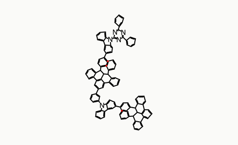 c1ccc(-c2nc(-c3ccccc3)nc(-n3c4ccccc4c4cc(-c5ccc(C6c7ccccc7-c7cc(-c8cccc(-n9c%10ccccc%10c%10cc(-c%11ccc(C%12c%13ccccc%13-c%13cccc%14c%13C%12C(c%12ccccc%12)c%12ccccc%12-%14)cc%11)ccc%109)c8)cc8c7C6C(c6ccccc6)c6ccccc6-8)cc5)ccc43)n2)cc1